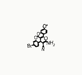 COc1ccc2c3c(c(=O)oc2c1)C(c1ccc(Br)cc1)C(C#N)=C(N)O3